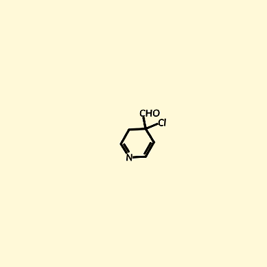 O=CC1(Cl)C=CN=CC1